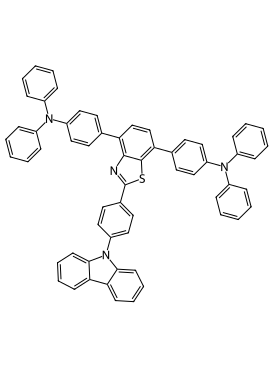 c1ccc(N(c2ccccc2)c2ccc(-c3ccc(-c4ccc(N(c5ccccc5)c5ccccc5)cc4)c4sc(-c5ccc(-n6c7ccccc7c7ccccc76)cc5)nc34)cc2)cc1